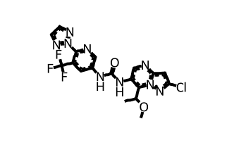 COC(C)c1c(NC(=O)Nc2cnc(-n3nccn3)c(C(F)(F)F)c2)cnc2cc(Cl)nn12